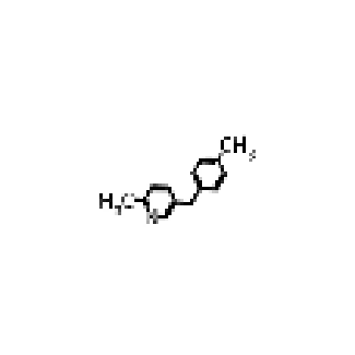 Cc1ccc(Cc2ccc(C)nc2)cc1